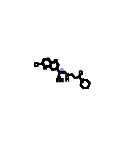 N=C/C(=C\NCCC(=O)N1CCCCC1)c1cnc2ccc(Cl)nc2c1